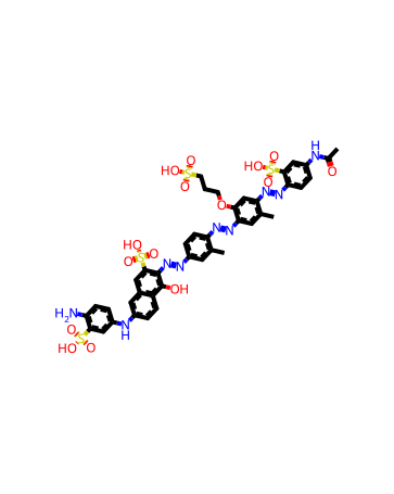 CC(=O)Nc1ccc(N=Nc2cc(OCCCS(=O)(=O)O)c(N=Nc3ccc(N=Nc4c(S(=O)(=O)O)cc5cc(Nc6ccc(N)c(S(=O)(=O)O)c6)ccc5c4O)cc3C)cc2C)c(S(=O)(=O)O)c1